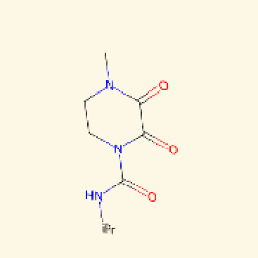 CC(C)NC(=O)N1CCN(C)C(=O)C1=O